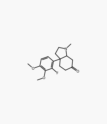 COc1ccc(C23CCC(=O)CC2N(C)CC3)c(F)c1OC